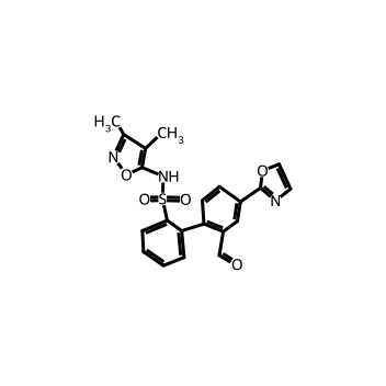 Cc1noc(NS(=O)(=O)c2ccccc2-c2ccc(-c3ncco3)cc2C=O)c1C